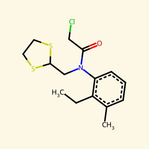 CCc1c(C)cccc1N(CC1SCCS1)C(=O)CCl